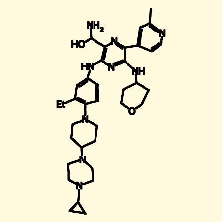 CCc1cc(Nc2nc(NC3CCOCC3)c(-c3ccnc(C)c3)nc2C(N)O)ccc1N1CCC(N2CCN(C3CC3)CC2)CC1